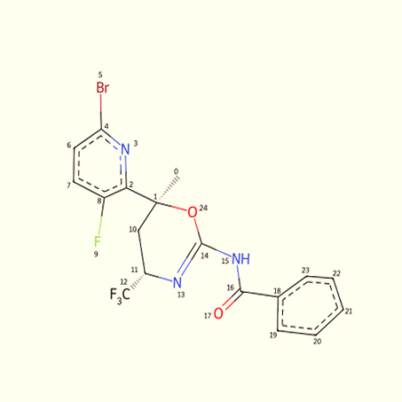 C[C@@]1(c2nc(Br)ccc2F)C[C@@H](C(F)(F)F)N=C(NC(=O)c2ccccc2)O1